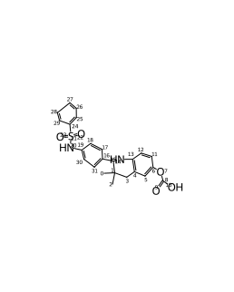 CC1(C)Cc2cc(OC(=O)O)ccc2NC1c1ccc(NS(=O)(=O)c2ccccc2)cc1